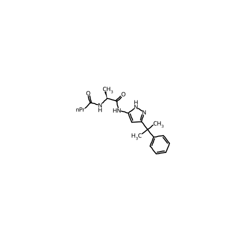 CCCC(=O)N[C@@H](C)C(=O)Nc1cc(C(C)(C)c2ccccc2)n[nH]1